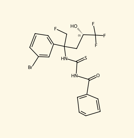 O=C(NC(=S)NC(CF)(C[C@H](O)C(F)(F)F)c1cccc(Br)c1)c1ccccc1